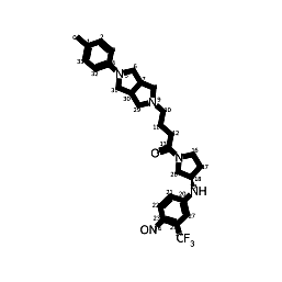 Cc1ccc(N2CC3CN(CCCC(=O)N4CC[C@@H](Nc5ccc(N=O)c(C(F)(F)F)c5)C4)CC3C2)cc1